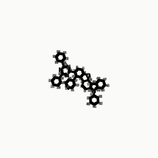 C1=CC2c3c(ccc(-c4nc(-c5ccccc5)nc(-c5ccccc5)n4)c3-c3ccncc3)OC2c2c1n(-c1ccccc1)c1ccccc21